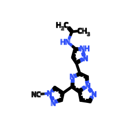 C=C(C)Nc1cc(-c2cn3nccc3c(-c3cnn(C#N)c3)n2)n[nH]1